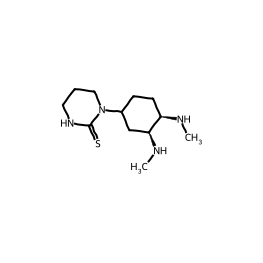 CN[C@H]1CC(N2CCCNC2=S)CC[C@H]1NC